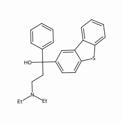 CCN(CC)CCC(O)(c1ccccc1)c1ccc2sc3ccccc3c2c1